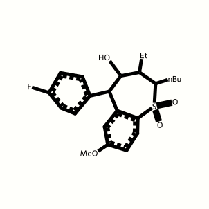 CCCCC1C(CC)C(O)C(c2ccc(F)cc2)c2cc(OC)ccc2S1(=O)=O